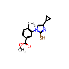 COC(=O)c1ccc(C)c(-n2cc(C3CC3)nc2S)c1